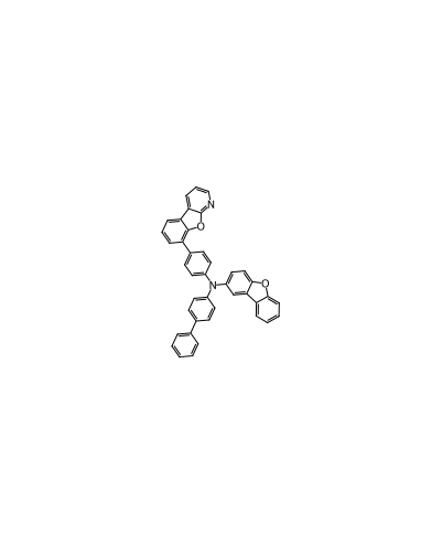 c1ccc(-c2ccc(N(c3ccc(-c4cccc5c4oc4ncccc45)cc3)c3ccc4oc5ccccc5c4c3)cc2)cc1